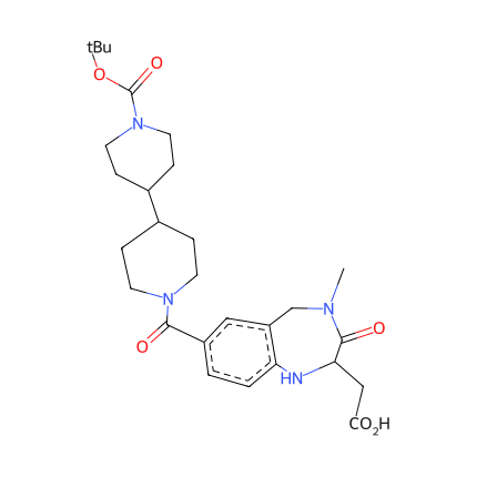 CN1Cc2cc(C(=O)N3CCC(C4CCN(C(=O)OC(C)(C)C)CC4)CC3)ccc2NC(CC(=O)O)C1=O